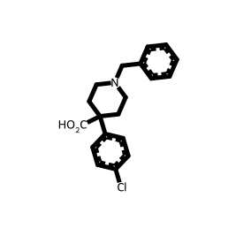 O=C(O)C1(c2ccc(Cl)cc2)CCN(Cc2ccccc2)CC1